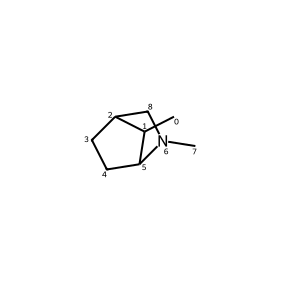 CC1C2CCC1N(C)C2